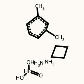 C1CCC1.Cc1cccc(C)c1.N.N.O=[PH](O)O